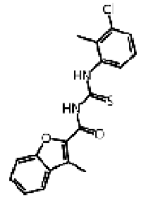 Cc1c(Cl)cccc1NC(=S)NC(=O)c1oc2ccccc2c1C